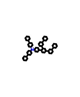 c1ccc(-c2ccc(N(c3ccc(-c4ccccc4)cc3)c3ccc(-c4ccc(-c5cccc(-c6ccccc6)c5)cc4-c4cccc(-c5ccccc5)c4)cc3)cc2)cc1